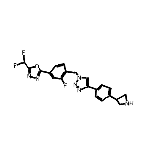 Fc1cc(-c2nnc(C(F)F)o2)ccc1Cn1cc(-c2ccc(C3CNC3)cc2)nn1